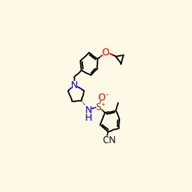 Cc1ccc(C#N)cc1[S@+]([O-])N[C@@H]1CCN(Cc2ccc(OC3CC3)cc2)C1